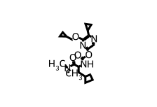 CN(C)C(=O)C(CC1CCC1)NC(=O)Oc1cnc(C2CC2)c(OCC2CC2)n1